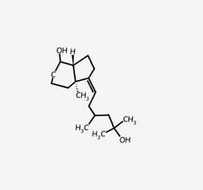 CC(C/C=C1/CC[C@H]2C(O)CCC[C@]12C)CC(C)(C)O